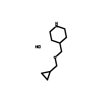 C1CC(COCC2CC2)CCN1.Cl